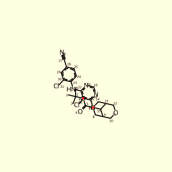 CC(C)(C)OC(=O)N1CC2COCC(C1)C2Oc1ncnc(Nc2ccc(C#N)cc2Cl)c1Cl